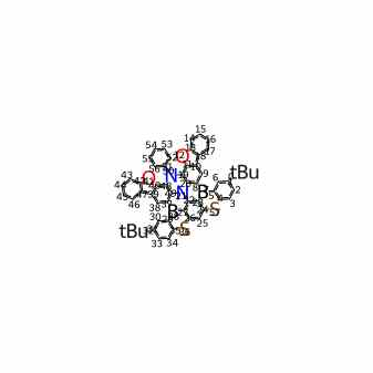 CC(C)(C)c1ccc2c(c1)B1c3cc4c(oc5ccccc54)c4c3N3c5c1c(cc1c5B(c5cc(C(C)(C)C)ccc5S1)c1cc5c(oc6ccccc65)c(c13)N4c1ccccc1)S2